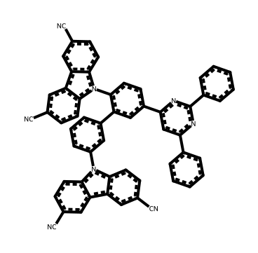 N#Cc1ccc2c(c1)c1cc(C#N)ccc1n2-c1cccc(-c2cc(-c3cc(-c4ccccc4)nc(-c4ccccc4)n3)ccc2-n2c3ccc(C#N)cc3c3cc(C#N)ccc32)c1